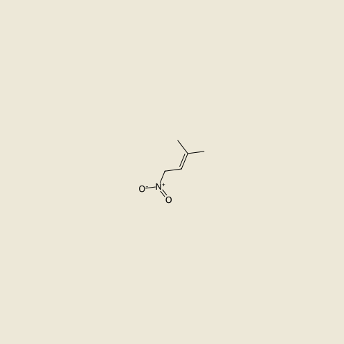 CC(C)=CC[N+](=O)[O-]